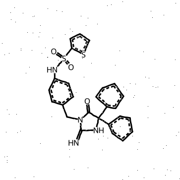 N=C1NC(c2ccccc2)(c2ccccc2)C(=O)N1Cc1ccc(NS(=O)(=O)c2cccs2)cc1